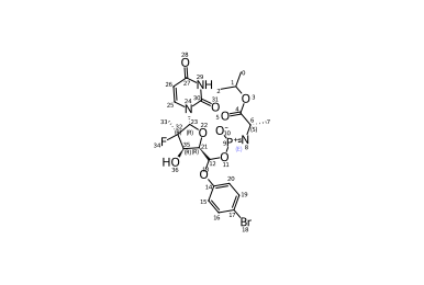 CC(C)OC(=O)[C@H](C)/N=[P+](\[O-])OC(Oc1ccc(Br)cc1)[C@@H]1O[C@@H](n2ccc(=O)[nH]c2=O)[C@](C)(F)[C@@H]1O